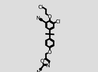 CC(C)(c1ccc(OCc2cnc(C#N)o2)cc1)c1cc(Cl)c(OCCCl)c(C#N)c1